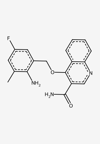 Cc1cc(F)cc(COc2c(C(N)=O)cnc3ccccc23)c1N